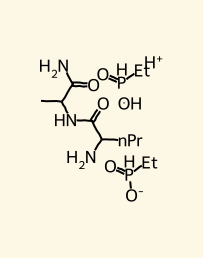 CCCC(N)C(=O)NC(C)C(N)=O.CC[PH](=O)O.CC[PH](=O)[O-].[H+]